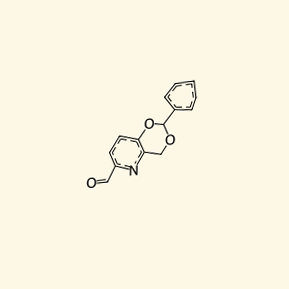 O=Cc1ccc2c(n1)COC(c1ccccc1)O2